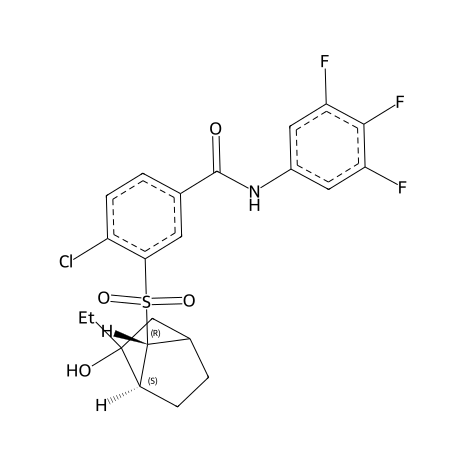 CCC1(O)CC2CC[C@@H]1[C@@H]2S(=O)(=O)c1cc(C(=O)Nc2cc(F)c(F)c(F)c2)ccc1Cl